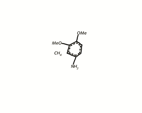 C.COc1ccc(N)cc1OC